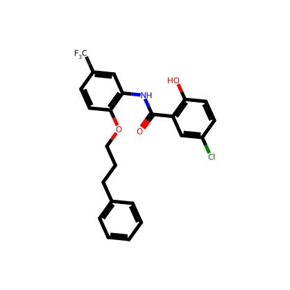 O=C(Nc1cc(C(F)(F)F)ccc1OCCCc1ccccc1)c1cc(Cl)ccc1O